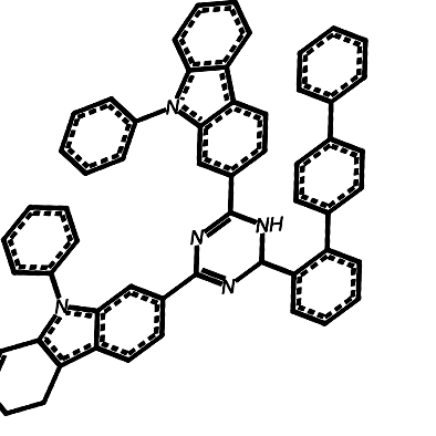 C1=Cc2c(c3ccc(C4=NC(c5ccccc5-c5ccc(-c6ccccc6)cc5)NC(c5ccc6c7ccccc7n(-c7ccccc7)c6c5)=N4)cc3n2-c2ccccc2)CC1